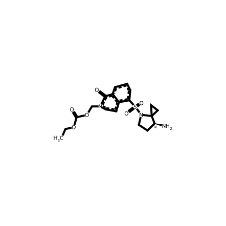 CCOC(=O)OCn1ccc2c(S(=O)(=O)N3CC[C@H](N)C34CC4)cccc2c1=O